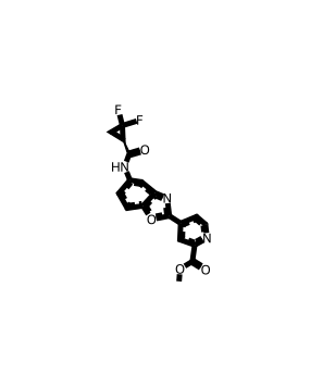 COC(=O)c1cc(-c2nc3cc(NC(=O)[C@H]4CC4(F)F)ccc3o2)ccn1